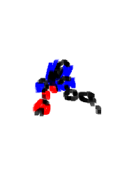 CC1(C)OCC(COc2cc(NC(=O)N3c4nc(-c5cccc(C(F)(F)F)c5)ncc4N4CCC[C@H]3C4)ccn2)O1